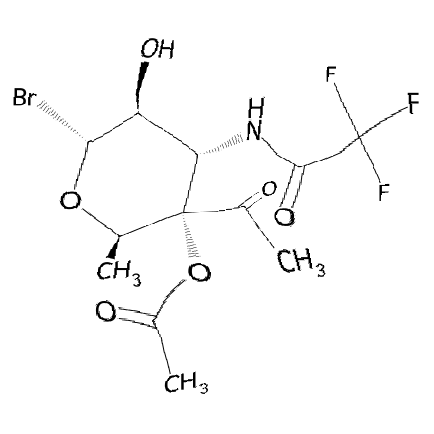 CC(=O)O[C@]1(C(C)=O)[C@@H](C)O[C@H](Br)[C@@H](O)[C@@H]1NC(=O)C(F)(F)F